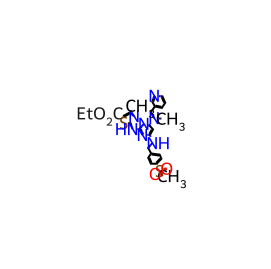 CCOC(=O)c1sc(Nc2nc(NCc3ccc(S(C)(=O)=O)cc3)cc(N(C)Cc3cccnc3)n2)nc1C